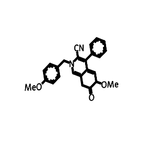 COc1ccc(CN2C=C3CC(=O)C(OC)C=C3C(c3ccccc3)=C2C#N)cc1